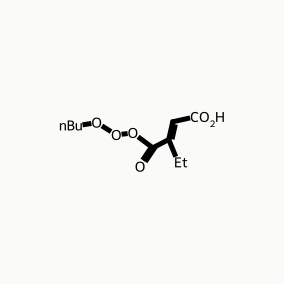 CCCCOOOC(=O)C(=CC(=O)O)CC